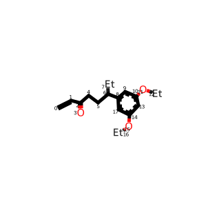 C=CC(=O)CCC(CC)c1cc(OCC)cc(OCC)c1